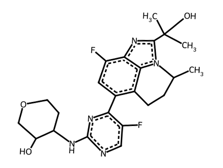 CC1CCc2c(-c3nc(NC4CCOCC4O)ncc3F)cc(F)c3nc(C(C)(C)O)n1c23